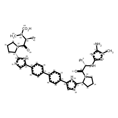 CC(C)[C@H](Nc1nc(N)n(C)n1)C(=O)N1CCC[C@H]1c1ncc(-c2ccc(-c3ccc(-c4cnc([C@@H]5CCCN5C(=O)[C@H](C(C)C)N(C)C(=O)O)[nH]4)cc3)cc2)[nH]1